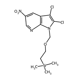 C[Si](C)(C)CCOCn1c(Cl)c(Cl)c2cc([N+](=O)[O-])cnc21